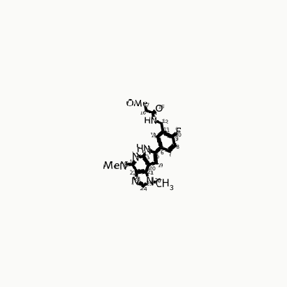 CNc1nc2[nH]c(-c3ccc(F)c(CNC(=O)COC)c3)cc2c2c1ncn2C